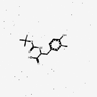 Cc1cc(CC(NC(=O)OC(C)(C)C)C(=O)O)ccc1O